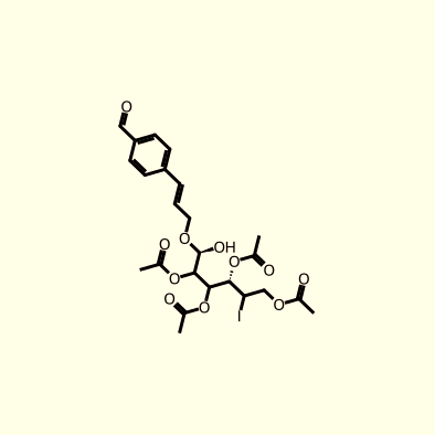 CC(=O)OCC(I)[C@@H](OC(C)=O)C(OC(C)=O)C(OC(C)=O)[C@H](O)OC/C=C/c1ccc(C=O)cc1